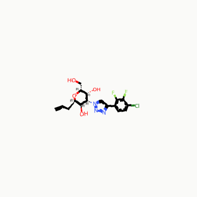 C=CC[C@H]1O[C@H](CO)[C@H](O)[C@H](n2cc(-c3ccc(Cl)c(F)c3F)nn2)[C@H]1O